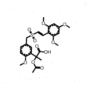 COc1cc(OC)c(C=CS(=O)(=O)Cc2ccc(OC)c(C(C)(OC(C)=O)C(=O)O)c2)c(OC)c1